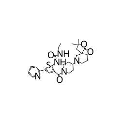 CCNC(=O)Nc1sc(-c2ccccn2)cc1C(=O)N1CCC(N2CCCC3(C2)CC(C)(C)OC3=O)CC1